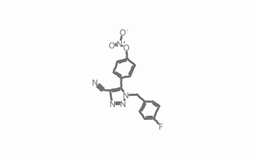 N#Cc1nnn(Cc2ccc(F)cc2)c1-c1ccc(O[N+](=O)[O-])cc1